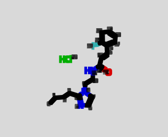 CCCCc1nccn1CCNC(=O)/C=C/c1ccccc1F.Cl